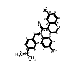 CC(C)c1ccc(N(Cc2ccc(N(C)C)cc2)C(=O)C2CCOc3ccc(Br)cc32)cc1